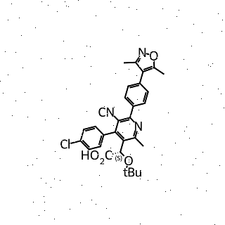 [C-]#[N+]c1c(-c2ccc(-c3c(C)noc3C)cc2)nc(C)c([C@H](OC(C)(C)C)C(=O)O)c1-c1ccc(Cl)cc1